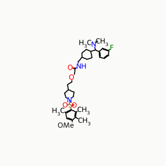 COc1cc(C)c(S(=O)(=O)N2CCC(CCOCC(=O)NCC3CCC(C(c4cccc(F)c4)N(C)C)CC3)CC2)c(C)c1C